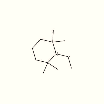 C[CH]N1C(C)(C)CCCC1(C)C